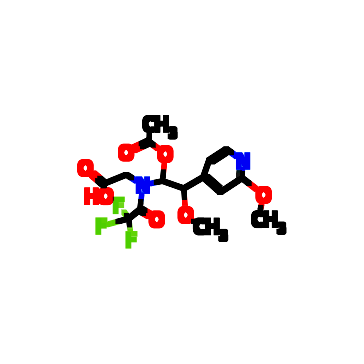 COc1cc(C(OC)C(OC(C)=O)N(CC(=O)O)C(=O)C(F)(F)F)ccn1